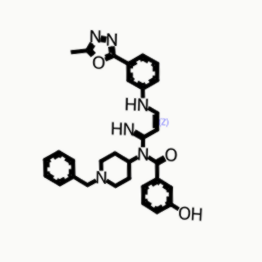 Cc1nnc(-c2cccc(N/C=C\C(=N)N(C(=O)c3cccc(O)c3)C3CCN(Cc4ccccc4)CC3)c2)o1